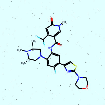 C[C@@H]1CN(c2cc(F)c(-c3csc(N4CCOCC4)n3)cc2NC(=O)c2cn(C)c(=O)cc2C(F)F)C[C@H](C)N1C